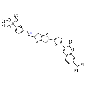 CCO[Si](OCC)(OCC)c1ccc(/C=C/c2cc3sc(-c4ccc(-c5cc6ccc(N(CC)CC)cc6oc5=O)s4)cc3s2)s1